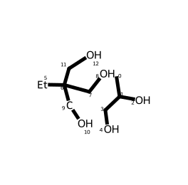 CC(O)CO.CCC(CO)(CO)CO